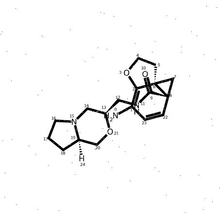 NC1=C2OCC[C@@]23C[C@]3(C(=O)NC[C@@H]2CN3CCC[C@@H]3CO2)C=C1